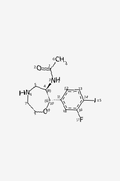 CC(=O)N[C@@H]1CNCCO[C@H]1c1ccc(I)c(F)c1